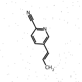 [CH2]/C=C/c1ccc(C#N)nc1